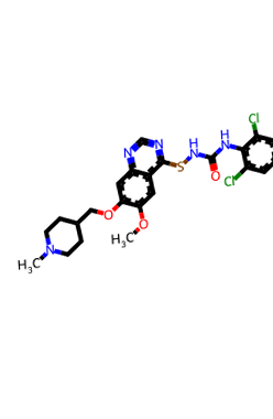 COc1cc2c(SNC(=O)Nc3c(Cl)cccc3Cl)ncnc2cc1OCC1CCN(C)CC1